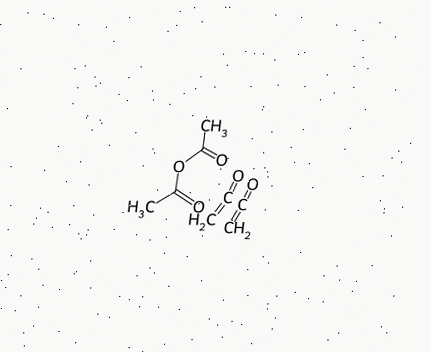 C=C=O.C=C=O.CC(=O)OC(C)=O